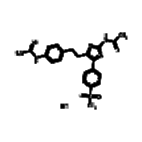 CC(=O)Nc1nc(CCc2ccc(NC(=N)N)cc2)c(-c2ccc(S(C)(=O)=O)cc2)s1.Cl